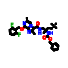 Cc1cn2c(C(=O)NCC(C)(CC[Si](C)(C)C)NC(=O)OCc3ccccc3)c(C)nc2c(OCc2c(F)cccc2F)n1